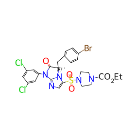 CCOC(=O)N1CCN(S(=O)(=O)c2cnc3n2[C@](C)(Cc2ccc(Br)cc2)C(=O)N3c2cc(Cl)cc(Cl)c2)CC1